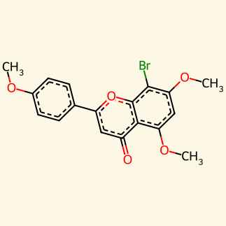 COc1ccc(-c2cc(=O)c3c(OC)cc(OC)c(Br)c3o2)cc1